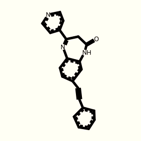 O=C1CC(c2ccncc2)=Nc2ccc(C#Cc3ccccc3)cc2N1